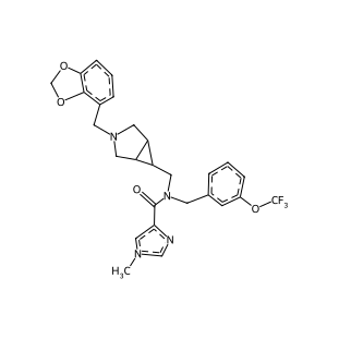 Cn1cnc(C(=O)N(Cc2cccc(OC(F)(F)F)c2)CC2C3CN(Cc4cccc5c4OCO5)CC32)c1